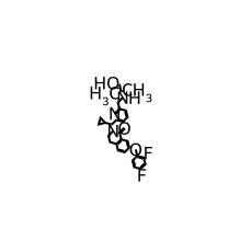 CC(C)(CO)NCc1cccc(C(C2CC2)N2CCc3ccc(Oc4ccc(F)cc4F)cc3C2=O)n1